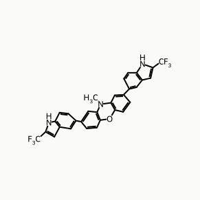 CN1c2cc(-c3ccc4[nH]c(C(F)(F)F)cc4c3)ccc2Oc2ccc(-c3ccc4[nH]c(C(F)(F)F)cc4c3)cc21